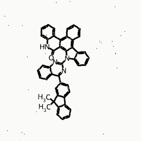 CC1(C)c2ccccc2-c2ccc(-c3nc(-n4c5ccccc5c5c6ccccc6c6c7ccccc7[nH]c(=O)c6c54)nc4ccccc34)cc21